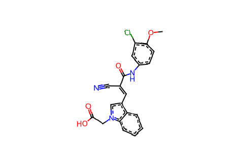 COc1ccc(NC(=O)/C(C#N)=C/c2cn(CC(=O)O)c3ccccc23)cc1Cl